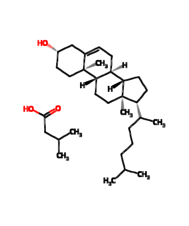 CC(C)CC(=O)O.CC(C)CCCC(C)[C@H]1CC[C@H]2[C@@H]3CC=C4C[C@@H](O)CC[C@]4(C)[C@H]3CC[C@]12C